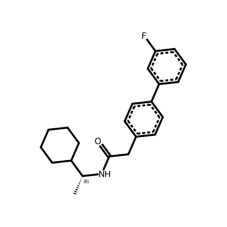 C[C@@H](NC(=O)Cc1ccc(-c2cccc(F)c2)cc1)C1CCCCC1